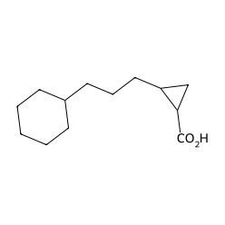 O=C(O)C1CC1CCCC1CCCCC1